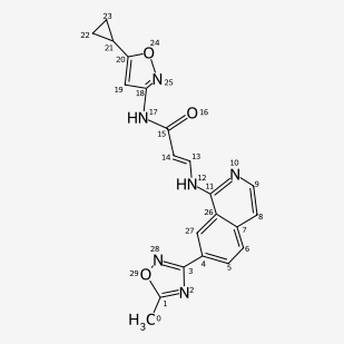 Cc1nc(-c2ccc3ccnc(NC=CC(=O)Nc4cc(C5CC5)on4)c3c2)no1